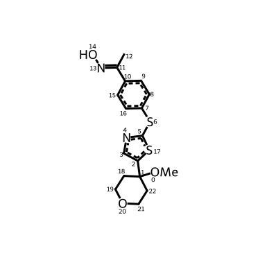 COC1(c2cnc(Sc3ccc(C(C)=NO)cc3)s2)CCOCC1